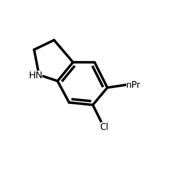 CCCc1cc2c(cc1Cl)NCC2